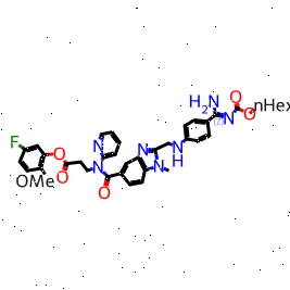 CCCCCCOC(=O)/N=C(\N)c1ccc(NCc2nc3cc(C(=O)N(CCC(=O)Oc4cc(F)ccc4OC)c4ccccn4)ccc3n2C)cc1